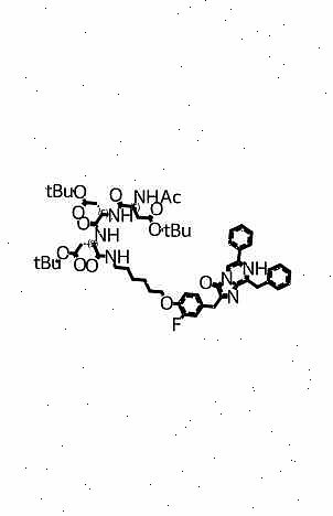 CC(=O)N[C@@H](CC(=O)OC(C)(C)C)C(=O)N[C@@H](CC(=O)OC(C)(C)C)C(=O)N[C@@H](CC(=O)OC(C)(C)C)C(=O)NCCCCCCOc1ccc(Cc2nc3c(Cc4ccccc4)[nH]c(-c4ccccc4)cn-3c2=O)cc1F